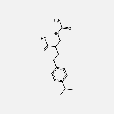 CC(C)c1ccc(CCC(CNC(N)=O)C(=O)O)cc1